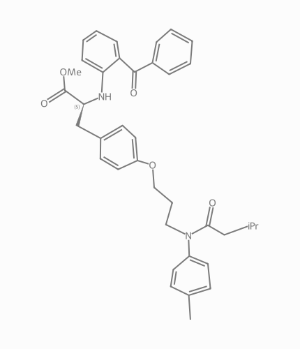 COC(=O)[C@H](Cc1ccc(OCCCN(C(=O)CC(C)C)c2ccc(C)cc2)cc1)Nc1ccccc1C(=O)c1ccccc1